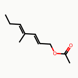 CC/C=C(C)/C=C/COC(C)=O